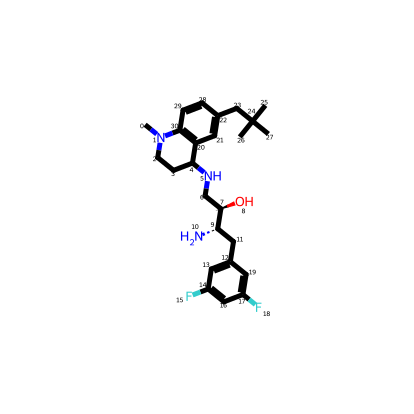 CN1CCC(NC[C@@H](O)[C@@H](N)Cc2cc(F)cc(F)c2)c2cc(CC(C)(C)C)ccc21